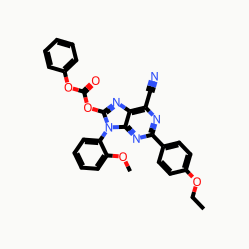 CCOc1ccc(-c2nc(C#N)c3nc(OC(=O)Oc4ccccc4)n(-c4ccccc4OC)c3n2)cc1